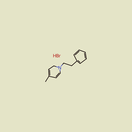 Br.CC1=CCN(CCc2ccccc2)C=C1